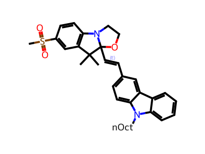 CCCCCCCCn1c2ccccc2c2cc(/C=C/C34OCCN3c3ccc(S(C)(=O)=O)cc3C4(C)C)ccc21